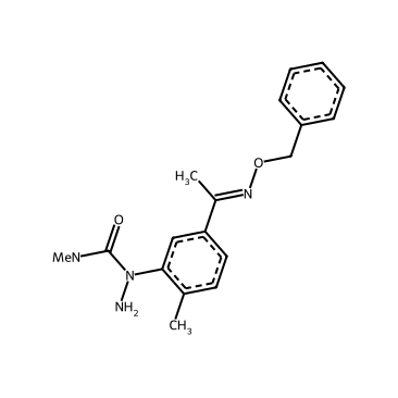 CNC(=O)N(N)c1cc(/C(C)=N/OCc2ccccc2)ccc1C